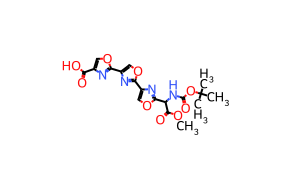 COC(=O)C(NC(=O)OC(C)(C)C)c1nc(-c2nc(-c3nc(C(=O)O)co3)co2)co1